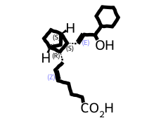 O=C(O)CCC/C=C\C[C@@H]1[C@@H]2CC[C@@H](C2)[C@@H]1/C=C/C(O)C1CCCCC1